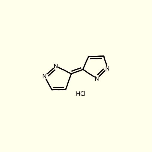 C1=CC(=C2C=CN=N2)N=N1.Cl